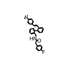 CN(C)c1ccc(/C=C/c2ccccc2-c2ccccc2CNC(=O)Cc2ccc(F)cc2)cc1